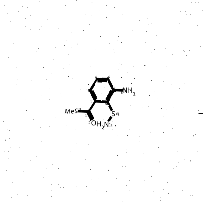 CSC(=O)c1cccc(N)c1SN